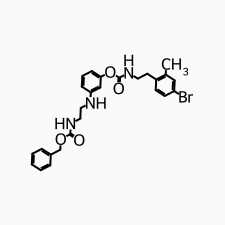 Cc1cc(Br)ccc1CCNC(=O)Oc1cccc(NCCNC(=O)OCc2ccccc2)c1